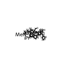 C=CC1C2C(c3ccccc3-c3cc(CC4CCCC4)c([Si](C)(C)C)c[n+]32)C12CC(C)=C(C(=C)OC(=C)NC)c1cc(C(C)C)cc[n+]12